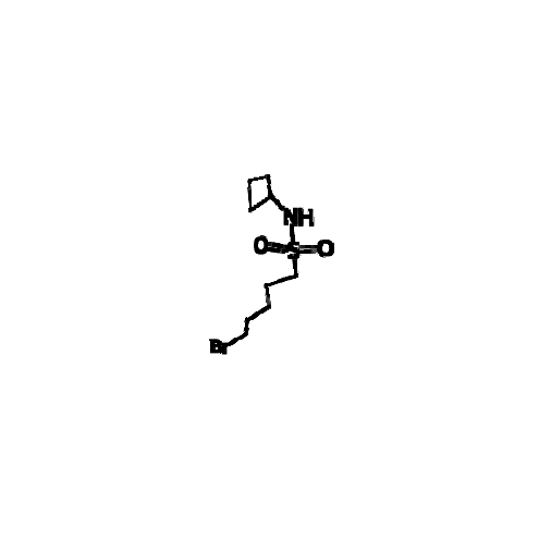 O=S(=O)(CCCCCBr)NC1CCC1